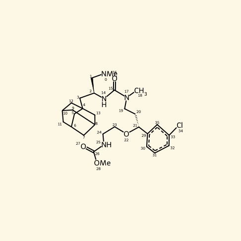 CNC[C@H](CC12CC3CC(CC(C3)C1)C2)NC(=O)N(C)CC[C@@H](OCCNC(=O)OC)c1cccc(Cl)c1